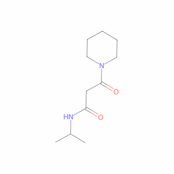 CC(C)NC(=O)CC(=O)N1CCCCC1